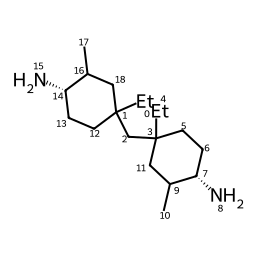 CCC1(CC2(CC)CC[C@H](N)C(C)C2)CC[C@H](N)C(C)C1